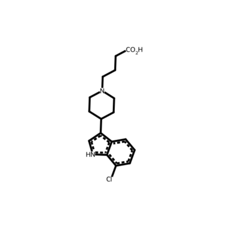 O=C(O)CCCN1CCC(c2c[nH]c3c(Cl)cccc23)CC1